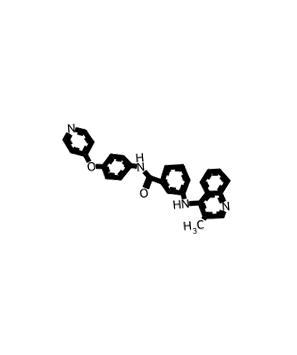 Cc1cnc2ccccc2c1Nc1cccc(C(=O)Nc2ccc(Oc3ccncc3)cc2)c1